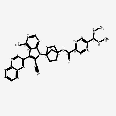 C#Cc1c(-c2cnc3ccccc3c2)c2c(N)ncnc2n1C12CCC(NC(=O)c3cnc(C(OC)OC)cn3)(CC1)C2